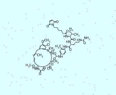 COc1cc2cc(c1Cl)N(C)C(=O)C[C@H](OC(O)Nc1ccc(NC(=O)[C@H](CCCNC(N)=O)NC(=O)[C@@H](NC(=O)CCCCCN3C(=O)C=CC3=O)C(C)C)c(C)c1)[C@]1(C)O[C@H]1[C@H](C)[C@@H]1C[C@@](O)(NC(=O)O1)[C@H](OC)/C=C/C=C(\C)C2